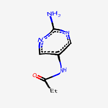 CCC(=O)Nc1cnc(N)nc1